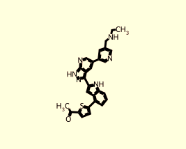 CCNCc1cncc(-c2cnc3[nH]nc(-c4cc5c(-c6ccc(C(C)=O)s6)cccc5[nH]4)c3c2)c1